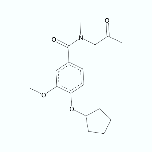 COc1cc(C(=O)N(C)CC(C)=O)ccc1OC1CCCC1